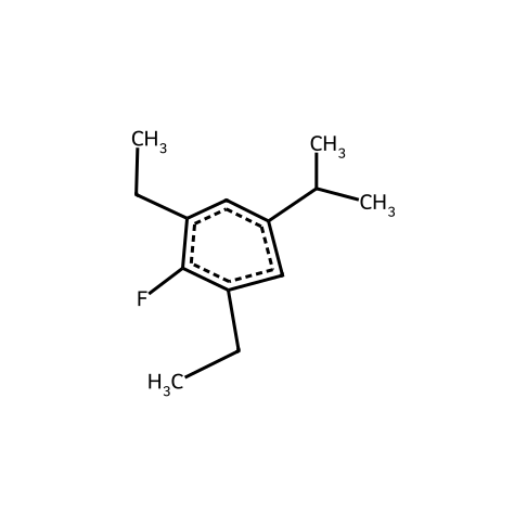 CCc1cc(C(C)C)cc(CC)c1F